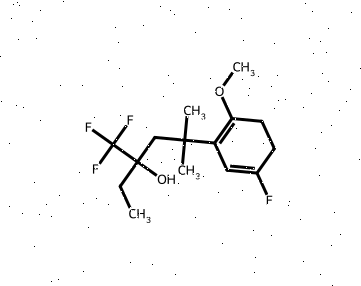 CCC(O)(CC(C)(C)C1=C(OC)CCC(F)=C1)C(F)(F)F